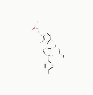 CCCCC(Oc1ccc(OCC(=O)O)c(C)c1)c1cccc(-c2ccc(C)cc2)n1